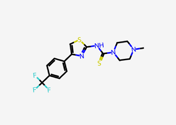 CN1CCN(C(=S)Nc2nc(-c3ccc(C(F)(F)F)cc3)cs2)CC1